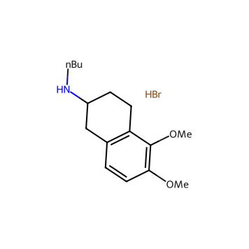 Br.CCCCNC1CCc2c(ccc(OC)c2OC)C1